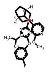 COc1cc(N2C[C@H]3CC[C@@H](C2)C3Nc2nc(Oc3cccc(F)c3)n(C(C)C)n2)ccn1